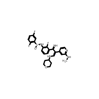 CNc1cc(/C(=C/NC2CCOCC2)C(=N)c2cccc(N[S+]([O-])c3cc(F)ccc3F)c2F)ccn1